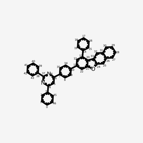 c1ccc(-c2cc(-c3ccc(-c4cc(-c5ccccc5)c5c(c4)oc4cc6ccccc6cc45)cc3)nc(-c3ccccc3)n2)cc1